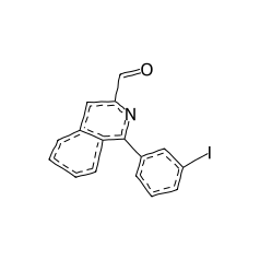 O=Cc1cc2ccccc2c(-c2cccc(I)c2)n1